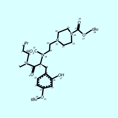 CC(C)CCN(C)C(=O)[C@H](Cc1ccc(OC(C)(C)C)cc1O)N(CCN1CCN(C(=O)OC(C)(C)C)CC1)C(=O)O